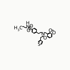 CCCNS(=O)(=O)c1ccc(CCN(Cc2cccc3c2OCO3)C(=O)Cc2ccsc2)cc1